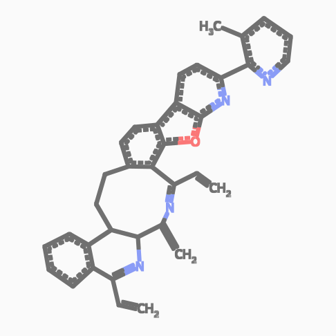 C=CC1=NC2C(=C)/N=C(/C=C)c3c(ccc4c3oc3nc(-c5ncccc5C)ccc34)CCC2c2ccccc21